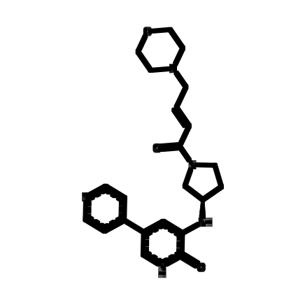 O=C(/C=C/CN1CCOCC1)N1CC[C@@H](Nc2cc(-c3ccncc3)c[nH]c2=O)C1